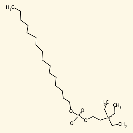 CCCCCCCCCCCCCCCCOP(=O)([O-])OCC[N+](CC)(CC)CC